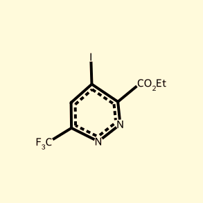 CCOC(=O)c1nnc(C(F)(F)F)cc1I